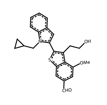 COc1cc(C=O)cc2sc(-c3cc4ccccc4n3CC3CC3)c(CCO)c12